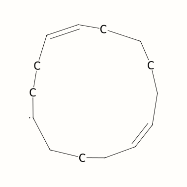 [CH]1CCC=CCCCCC=CCCC1